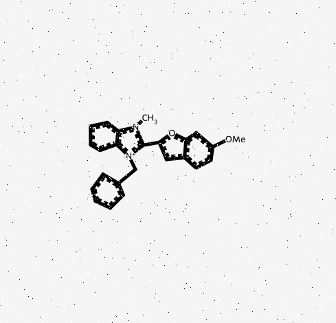 COc1ccc2cc(-c3n(C)c4ccccc4[n+]3Cc3ccccc3)oc2c1